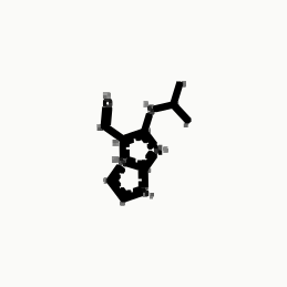 CC(C)Sc1nc2sccn2c1C=O